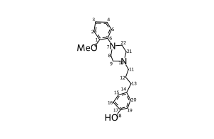 COc1ccccc1N1CCN(CCCc2ccc(O)cc2)CC1